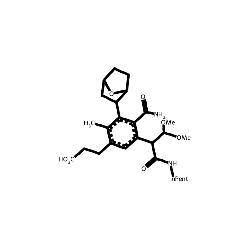 CCCCCNC(=O)C(c1cc(CCC(=O)O)c(C)c(C2CC3CCC2O3)c1C(N)=O)C(OC)OC